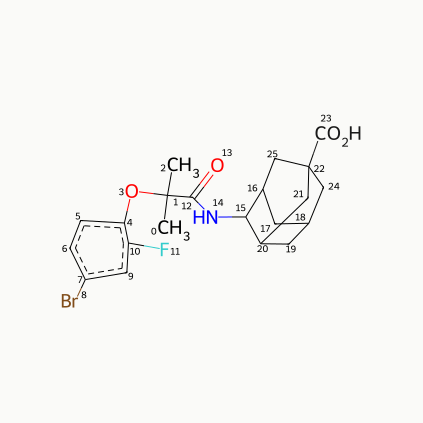 CC(C)(Oc1ccc(Br)cc1F)C(=O)NC1C2CC3CC1CC(C(=O)O)(C3)C2